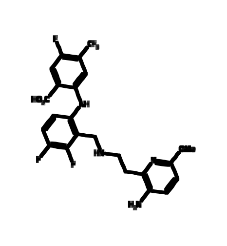 COc1ccc(N)c(CCNCc2c(Nc3cc(C(F)(F)F)c(F)cc3C(=O)O)ccc(F)c2F)n1